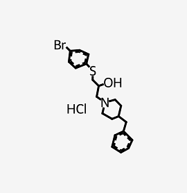 Cl.OC(CSc1ccc(Br)cc1)CN1CCC(Cc2ccccc2)CC1